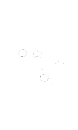 CNN=C1CCC(NCC(O)C(Cc2cc(F)cc(F)c2)n2cnnn2)(c2cccc(C(C)(C)C)c2)CC1